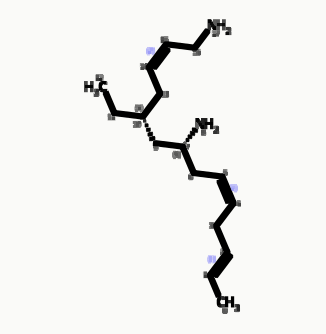 C/C=C/C/C=C\C[C@@H](N)C[C@H](CC)C/C=C\CN